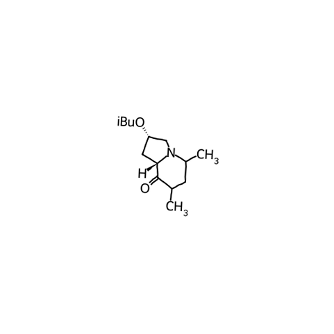 CC(C)CO[C@H]1C[C@H]2C(=O)C(C)CC(C)N2C1